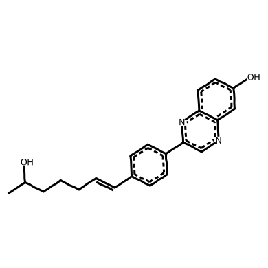 CC(O)CCCC=Cc1ccc(-c2cnc3cc(O)ccc3n2)cc1